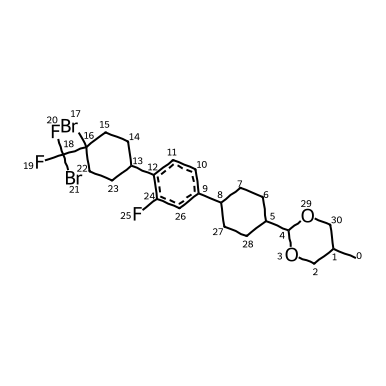 CC1COC(C2CCC(c3ccc(C4CCC(Br)(C(F)(F)Br)CC4)c(F)c3)CC2)OC1